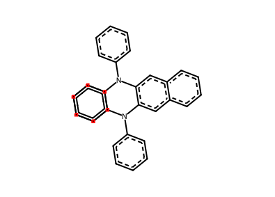 c1ccc(N(c2ccccc2)c2cc3ccccc3cc2N(c2ccccc2)c2ccccc2)cc1